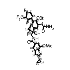 CCOc1c(CC(N)=O)cc([C@@](O)(CNC(=O)c2cc(OC)c3nn(C4CC4)cc3c2)C2(F)CC2)nc1-c1ccc(F)c(C(F)(F)F)c1F